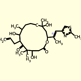 C=CCC1C(=O)C(C)(C)C(O)CC(=O)OC(/C(C)=C/c2csc(C)n2)CC(C)(O)CCCC(C)C1O